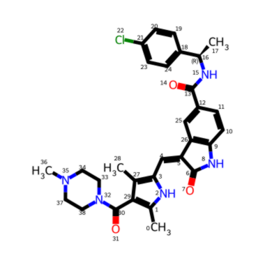 Cc1[nH]c(C=C2C(=O)Nc3ccc(C(=O)N[C@H](C)c4ccc(Cl)cc4)cc32)c(C)c1C(=O)N1CCN(C)CC1